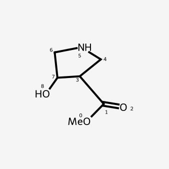 COC(=O)C1CNCC1O